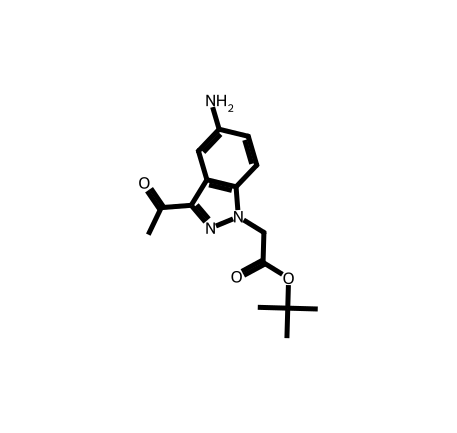 CC(=O)c1nn(CC(=O)OC(C)(C)C)c2ccc(N)cc12